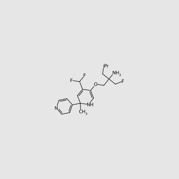 CC(C)CC(N)(CF)COC1=CNC(C)(c2ccncc2)C=C1C(F)F